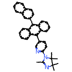 CC1=NC(C)(C)C(C)(C)N1c1ccc(-c2c3ccccc3c(-c3ccc4ccccc4c3)c3ccccc23)cn1